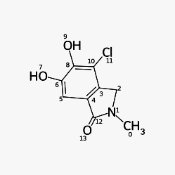 CN1Cc2c(cc(O)c(O)c2Cl)C1=O